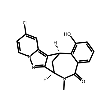 CN1C(=O)c2cccc(O)c2[C@H]2C[C@@H]1c1nn3ccc(Cl)cc3c12